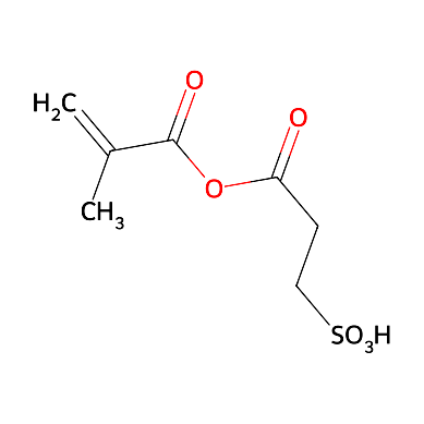 C=C(C)C(=O)OC(=O)CCS(=O)(=O)O